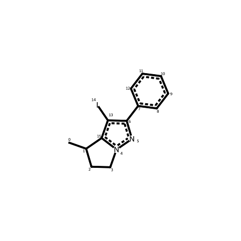 CC1CCn2nc(-c3ccccc3)c(I)c21